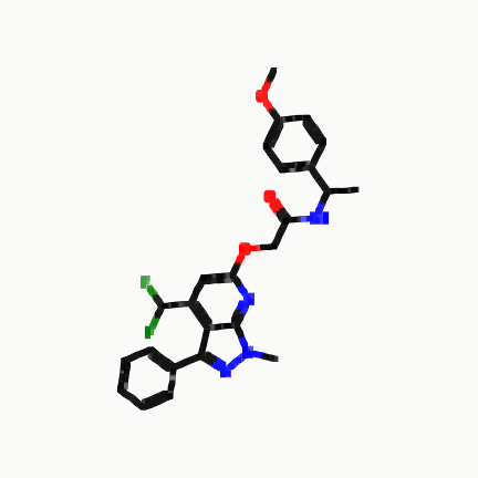 COc1ccc(C(C)NC(=O)COc2cc(C(F)F)c3c(-c4ccccc4)nn(C)c3n2)cc1